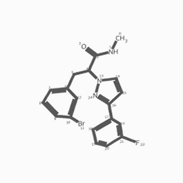 CNC(=O)C(Cc1cccc(Br)c1)n1ccc(-c2cccc(F)c2)n1